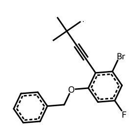 [CH2]C(C)(C)C#Cc1c(Br)cc(F)cc1OCc1ccccc1